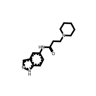 O=C(CCN1CCCCC1)Nc1ccc2[nH]ncc2c1